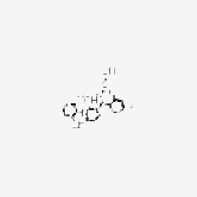 Cc1c(C(=NOCCO)c2ccc(F)cc2Cl)ccc(=O)n1-c1c(Cl)cccc1Cl